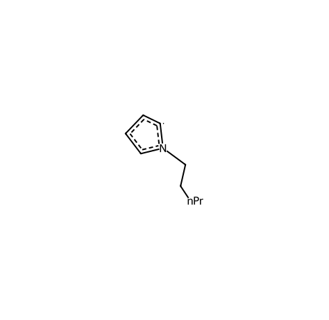 CCCCCn1[c]ccc1